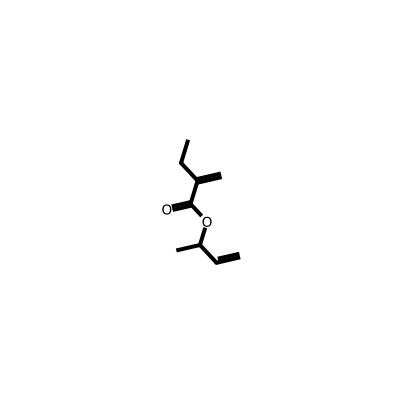 C=CC(C)OC(=O)C(=C)CC